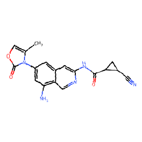 Cc1coc(=O)n1-c1cc(N)c2cnc(NC(=O)C3CC3C#N)cc2c1